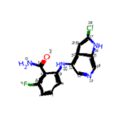 NC(=O)c1c(F)cccc1Nc1cncc2[nH]c(Cl)cc12